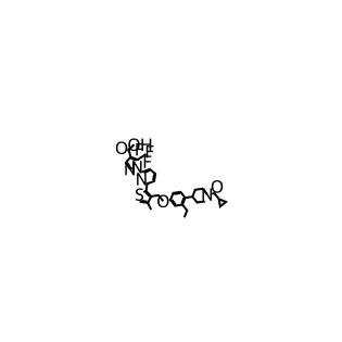 CCc1cc(OCc2c(C)csc2-c2cccc(-n3ncc(C(=O)O)c3C(F)(F)F)n2)ccc1C1CCN(C(=O)C2CC2)CC1